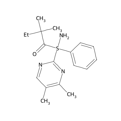 CCC(C)(C)C(=O)S(N)(c1ccccc1)c1ncc(C)c(C)n1